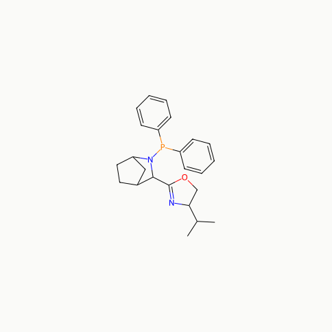 CC(C)C1COC(C2C3CCC(C3)N2P(c2ccccc2)c2ccccc2)=N1